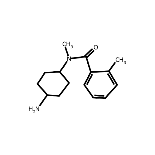 Cc1ccccc1C(=O)N(C)C1CCC(N)CC1